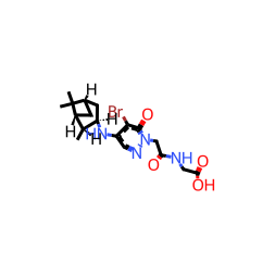 C[C@@H]1[C@H]2C[C@@H](C[C@H]1Nc1cnn(CC(=O)NCC(=O)O)c(=O)c1Br)C2(C)C